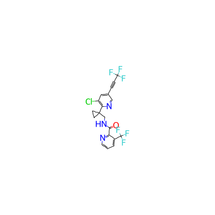 O=C(NCC1(c2ncc(C#CC(F)(F)F)cc2Cl)CC1)c1ncccc1C(F)(F)F